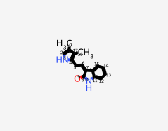 Cc1c[nH]c(CC=C2C(=O)Nc3ccccc32)c1C